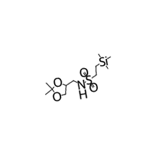 CC1(C)OCC(CNS(=O)(=O)CC[Si](C)(C)C)O1